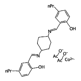 CC(=O)[O-].CC(=O)[O-].CCCc1ccc(O)c(C=NC2CCC(N=Cc3cc(CCC)ccc3O)CC2)c1.[Co+2]